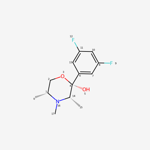 C[C@@H]1CO[C@@](O)(c2cc(F)cc(F)c2)[C@H](C)N1C